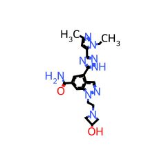 CCn1nc(C)cc1-c1n[nH]c(-c2cc(C(N)=O)cc3c2cnn3CCN2CC(O)C2)n1